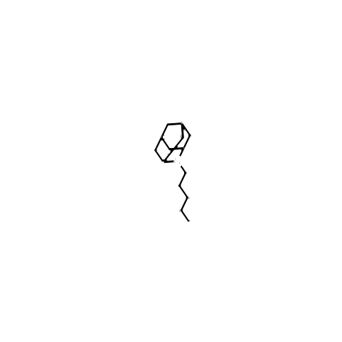 CCCCCN1C2CC3CC(C2)CC1C3